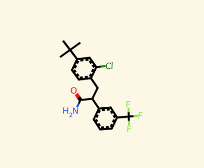 CC(C)(C)c1ccc(CC(C(N)=O)c2cccc(C(F)(F)F)c2)c(Cl)c1